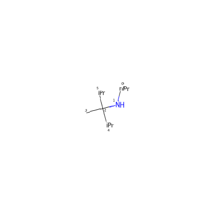 CCCNC(C)(C(C)C)C(C)C